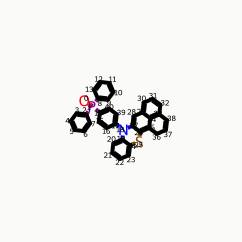 O=P(c1ccccc1)(c1ccccc1)c1ccc(N2c3ccccc3Sc3c2cc2cccc4c2c3CC=C4)cc1